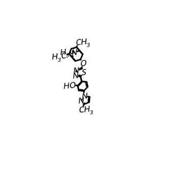 Cc1ccn(-c2ccc(-c3nnc(OC4CC5C(C)CC(C)C(C4)N5C)s3)c(O)c2)n1